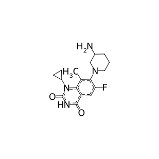 Cc1c(N2CCCC(N)C2)c(F)cc2c(=O)[nH]c(=O)n(C3CC3)c12